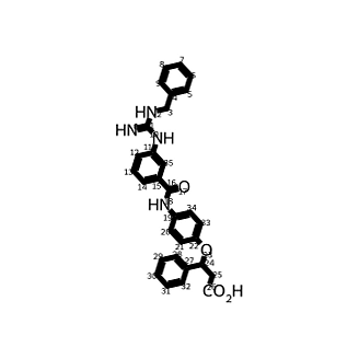 N=C(NCc1ccccc1)Nc1cccc(C(=O)Nc2ccc(OC(CC(=O)O)c3ccccc3)cc2)c1